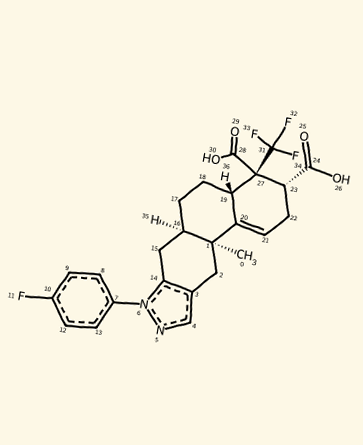 C[C@]12Cc3cnn(-c4ccc(F)cc4)c3C[C@H]1CC[C@H]1C2=CC[C@@H](C(=O)O)[C@]1(C(=O)O)C(F)(F)F